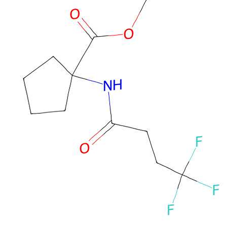 COC(=O)C1(NC(=O)CCC(F)(F)F)CCCC1